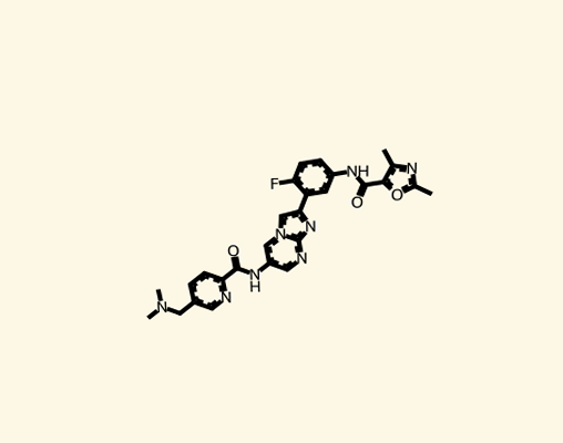 Cc1nc(C)c(C(=O)Nc2ccc(F)c(-c3cn4cc(NC(=O)c5ccc(CN(C)C)cn5)cnc4n3)c2)o1